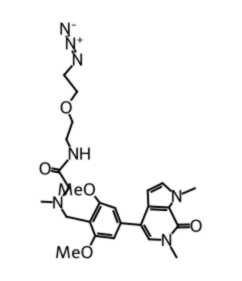 COc1cc(-c2cn(C)c(=O)c3c2ccn3C)cc(OC)c1CN(C)CC(=O)NCCOCCN=[N+]=[N-]